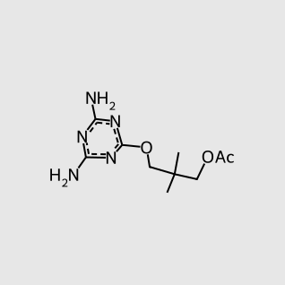 CC(=O)OCC(C)(C)COc1nc(N)nc(N)n1